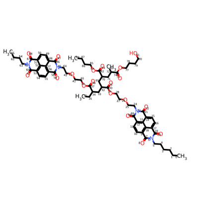 CCCCCCN1C(=O)c2ccc3c4c(ccc(c24)C1=O)C(=O)N(CCOCCOC(=O)C(CC(CC)C(=O)OCCOCCN1C(=O)c2ccc4c5c(ccc(c25)C1=O)C(=O)N(CCCC)C4=O)CC(CC(C)C(=O)OCCCCO)C(=O)OCCCC)C3=O